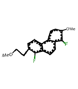 COCCc1ccc2c(ccc3c(F)c(OC)ccc32)c1F